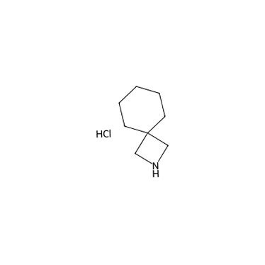 C1CCC2(CC1)CNC2.Cl